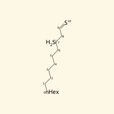 CCCCCCCCCCCC[SiH2]CC=S